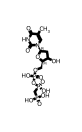 Cc1cn([C@H]2CC(O)[C@@H](COP(=O)(O)OP(=O)(O)CP(=O)(O)O)O2)c(=O)[nH]c1=O